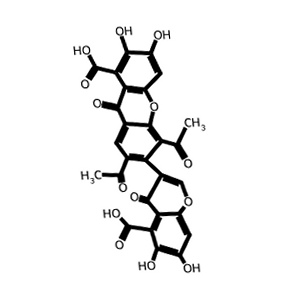 CC(=O)c1cc2c(=O)c3c(C(=O)O)c(O)c(O)cc3oc2c(C(C)=O)c1-c1coc2cc(O)c(O)c(C(=O)O)c2c1=O